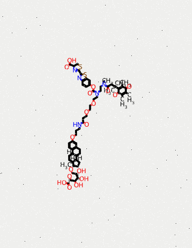 CC1=C(C)C(=O)C(C(C)(C)CC(=O)N(C)CCN(CCOCCOCCC(=O)NCCCOc2ccc3c(c2)CC[C@@H]2[C@@H]3CC[C@]3(C)[C@@H](OC4O[C@@H](C(=O)O)C(O)[C@@H](O)[C@@H]4O)CC[C@@H]23)C(=O)Oc2ccc3nc(C4=NC(C(=O)O)CS4)sc3c2)=C(C)C1=O